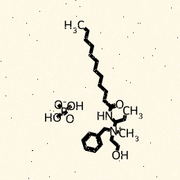 CCCCCCCCCCCC(=O)NC(CC)[N+](C)(CCO)Cc1ccccc1.O=P([O-])(O)O